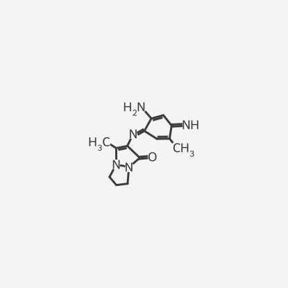 CC1=C/C(=N\c2c(C)n3n(c2=O)CCC3)C(N)=CC1=N